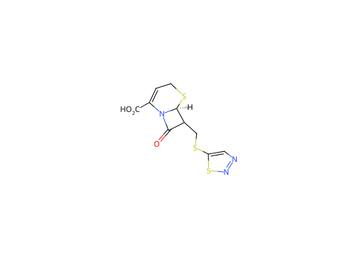 O=C(O)C1=CCS[C@H]2C(CSc3cnns3)C(=O)N12